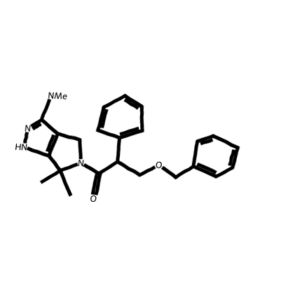 CNc1n[nH]c2c1CN(C(=O)C(COCc1ccccc1)c1ccccc1)C2(C)C